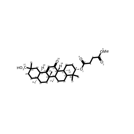 COC(=O)CCC(=O)O[C@H]1CC[C@@]2(C)C(CC[C@]3(C)[C@@H]2C(=O)C=C2[C@@H]4CC(C)(C(=O)O)CC[C@]4(C)CC[C@]23C)C1(C)C